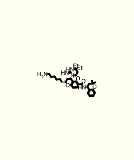 CCC1(CC)CC(=O)N(C2C[C@@H](CCCCCCN)Oc3ccc(C(=O)N[C@H]4CC(C)(C)Oc5ccccc54)cc32)C(=N)N1